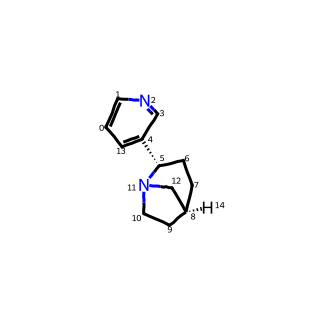 c1cncc([C@@H]2CC[C@H]3CCN2C3)c1